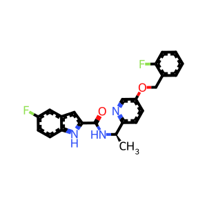 C[C@@H](NC(=O)c1cc2cc(F)ccc2[nH]1)c1ccc(OCc2ccccc2F)cn1